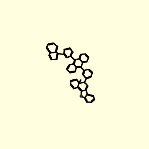 CC12C=CC=CC1=c1oc3ccccc3c1=CC2c1cccc(-c2c3ccccc3c(-c3cccc(-c4cccc5ccccc45)c3)c3ccccc23)c1